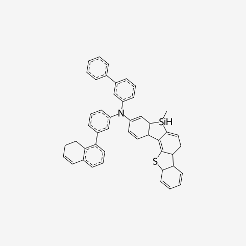 C[SiH]1C2=CCC3C(=C2C2C=CC(N(c4cccc(-c5ccccc5)c4)c4cccc(-c5cccc6c5CCC=C6)c4)=CC21)SC1C=CC=CC13